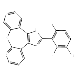 Fc1ccc(Cl)c(F)c1-c1nc2c([nH]1)-c1ccncc1Nc1ncccc1-2